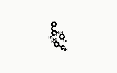 OC1CCC(Nc2cc(Cc3ccccc3)cc(Nc3nc4ccc(-c5cn[nH]c5)cc4s3)n2)CC1